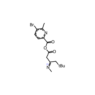 C/N=C(/CC(=O)OC(=O)c1ccc(Br)c(C)n1)CC(C)(C)C